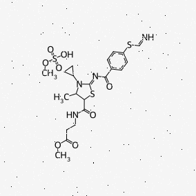 COC(=O)CCNC(=O)C1SC(=NC(=O)c2ccc(SC=N)cc2)N(C2CC2)C1C.COS(=O)(=O)O